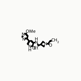 C=CC(=O)N1CC(C(CC)Nc2cc(-c3cc(OC)ncn3)c[nH]c2=O)C1